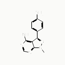 Cn1nc(-c2ccc(N)cc2)c2c(N)ncnc21